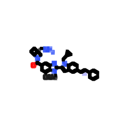 COc1cc(C(=O)N2C[C@]3(CN)CCC23)cc2nc(-c3cc4cc(/C=C/c5ccccc5)ccc4n3CC3CC3)n(C)c12